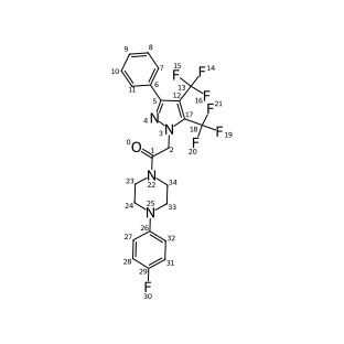 O=C(Cn1nc(-c2ccccc2)c(C(F)(F)F)c1C(F)(F)F)N1CCN(c2ccc(F)cc2)CC1